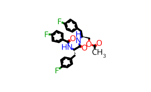 CC(=O)OC[C@H](Cc1ccc(F)cc1)NC(=O)[C@H](Cc1ccc(F)cc1)NC(=O)c1ccc(F)cc1